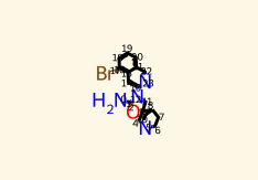 NC1OC2(CN3CCC2CC3)CN1c1cc2c(Br)cccc2cn1